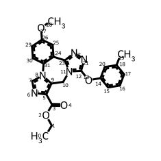 CCOC(=O)c1ncn2c1Cn1c(Oc3cccc(C)c3)nnc1-c1cc(OC)ccc1-2